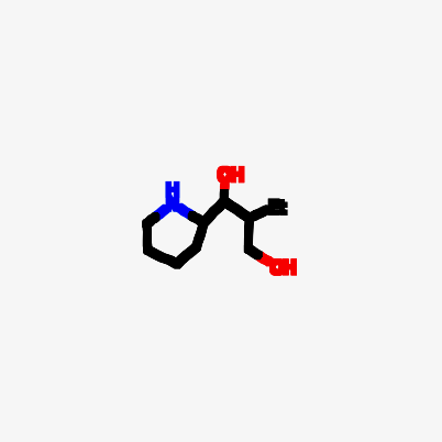 CCC(CO)C(O)C1CCCCN1